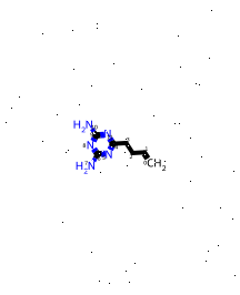 C=CCCc1nc(N)nc(N)n1